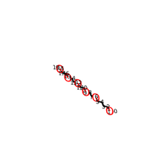 COCCCCOCCOCCOCCOCCOC